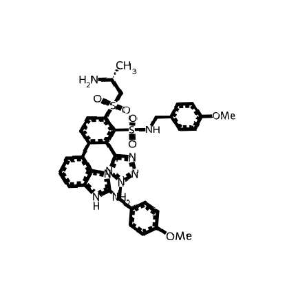 COc1ccc(CNS(=O)(=O)c2c(S(=O)(=O)C[C@@H](C)N)ccc(-c3cccc4[nH]c(N)nc34)c2-c2nnn(Cc3ccc(OC)cc3)n2)cc1